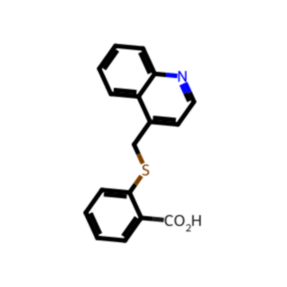 O=C(O)c1ccccc1SCc1ccnc2ccccc12